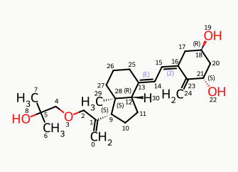 C=C(COCC(C)(C)O)[C@H]1CC[C@H]2/C(=C/C=C3/C[C@@H](O)C[C@H](O)C3=C)CCC[C@]12C